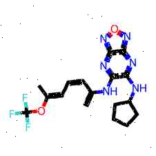 C=C(/C=C\C=C(/C)OC(F)(F)F)Nc1nc2nonc2nc1NC1CCCC1